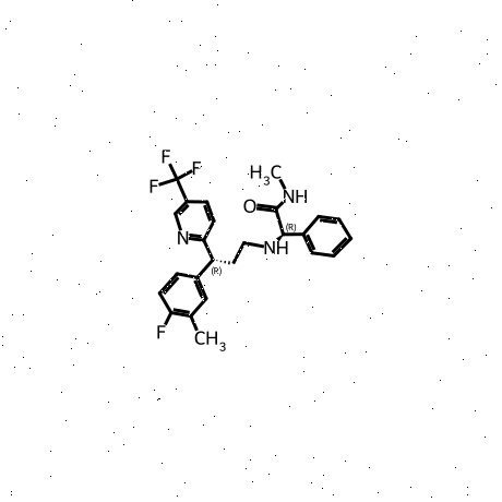 CNC(=O)[C@H](NCC[C@H](c1ccc(F)c(C)c1)c1ccc(C(F)(F)F)cn1)c1ccccc1